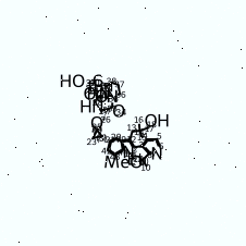 CCn1c(-c2cccnc2[C@H](C)OC)c(CC(C)(C)CO)c2cc([C@@H]3C[C@H]3OC[C@H](NC(=O)OC(C)(C)C)C(=O)N3CCC[C@@H](C(=O)O)N3)ccc21